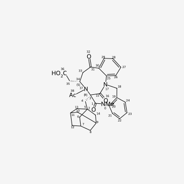 CNC(=O)[C@]1(CC23CC4CC(CC(C4)C2)C3)C(=O)N(Cc2ccccc2)c2ccccc2C(=O)C[C@@H](CC(=O)O)N1C(C)=O